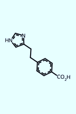 O=C(O)c1ccc(CCc2c[nH]cn2)cc1